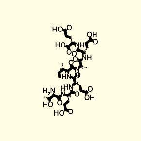 CC[C@H](C)[C@H](NC(=O)[C@H](CCC(=O)O)NC(=O)[C@H](CCC(=O)O)NC(=O)[C@@H](N)[C@@H](C)O)C(=O)N[C@@H](C)C(=O)N[C@@H](CCC(=O)O)C(=O)N[C@@H](CCC(=O)O)C(=O)O